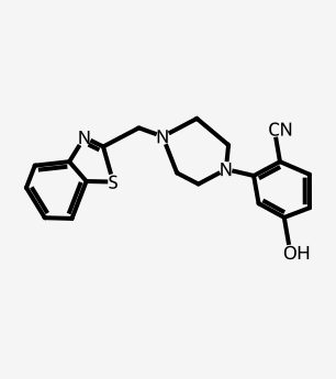 N#Cc1ccc(O)cc1N1CCN(Cc2nc3ccccc3s2)CC1